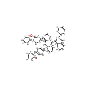 c1ccc(-c2cc(-c3c4cccc(-c5ccc6c(c5)oc5ccccc56)c4cc4c(-c5ccc6c(c5)oc5ccccc56)cccc34)c3ccccc3c2)cc1